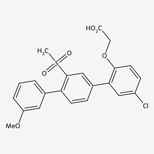 COc1cccc(-c2ccc(-c3cc(Cl)ccc3OCC(=O)O)cc2S(C)(=O)=O)c1